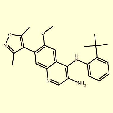 COc1cc2c(Nc3ccccc3C(C)(C)C)c(N)cnc2cc1-c1c(C)noc1C